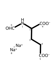 O=CNC(CCC(=O)[O-])C(=O)[O-].[Na+].[Na+]